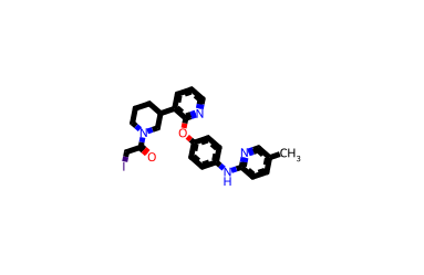 Cc1ccc(Nc2ccc(Oc3ncccc3C3CCCN(C(=O)CI)C3)cc2)nc1